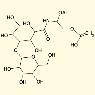 C=C(O)OCC(NC(=O)C(O)C(O)C(O[C@@H]1OC(CO)[C@H](O)[C@H](O)C1O)C(O)CO)OC(C)=O